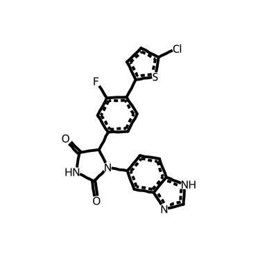 O=C1NC(=O)N(c2ccc3[nH]cnc3c2)C1c1ccc(-c2ccc(Cl)s2)c(F)c1